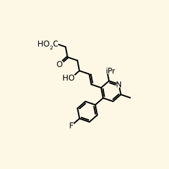 Cc1cc(-c2ccc(F)cc2)c(/C=C/C(O)CC(=O)CC(=O)O)c(C(C)C)n1